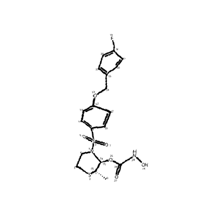 C[C@@H]1SCCN(S(=O)(=O)c2ccc(OCc3ccc(F)cc3)cc2)[C@H]1OC(=O)NO